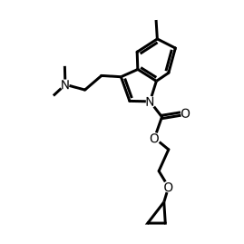 Cc1ccc2c(c1)c(CCN(C)C)cn2C(=O)OCCOC1CC1